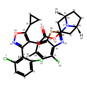 O=C(Cc1c(-c2c(Cl)cccc2Cl)noc1C1CC1)OC1C[C@H]2CC[C@@H](C1)N2c1nc2c(F)cc(C(=O)O)cc2s1